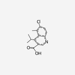 Cc1c(Cl)ccc2ncc(C(=O)O)c(C(C)C)c12